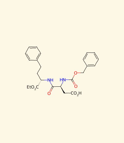 CCOC(=O)[C@H](CCc1ccccc1)NC(=O)[C@H](CC(=O)O)NC(=O)OCc1ccccc1